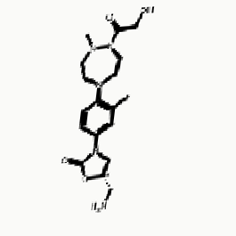 CN1CCN(c2ccc(N3C[C@H](CN)OC3=O)cc2F)CCN1C(=O)CO